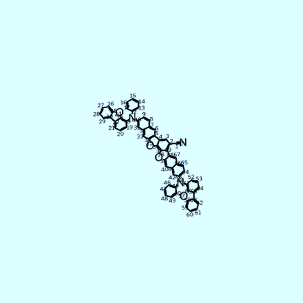 N#Cc1cc2c3cc4ccc(N(c5ccccc5)c5cccc6c5oc5ccccc56)cc4cc3oc2c2oc3cc4cc(N(c5ccccc5)c5cccc6c5oc5ccccc56)ccc4cc3c12